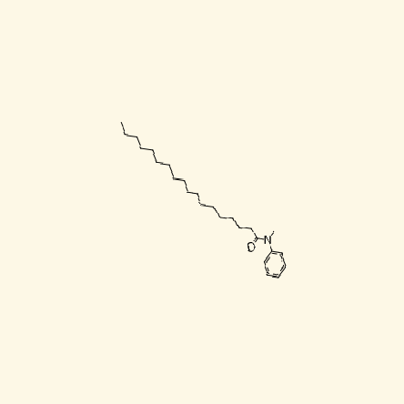 CCCCCCCCCCCCCCCCCC(=O)N(C)c1ccccc1